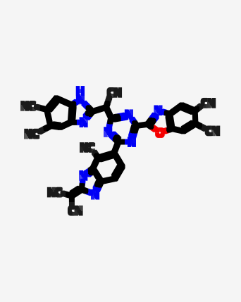 N#CC(C#N)=C1N=c2ccc(-c3nc(-c4nc5cc(C#N)c(C#N)cc5o4)nc(C(C#N)c4nc5cc(C#N)c(C#N)cc5[nH]4)n3)c(C#N)c2=N1